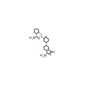 NC(=O)c1ccccc1C[CH]c1cc(-c2ccc3c(N)n[nH]c3c2)ccn1